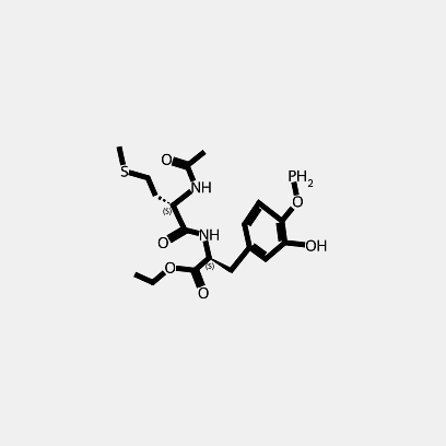 CCOC(=O)[C@H](Cc1ccc(OP)c(O)c1)NC(=O)[C@H](CCSC)NC(C)=O